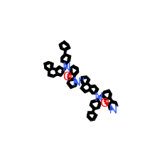 c1ccc(-c2ccc(N(c3ccc4c(ccc5c(-[n+]6cccc7oc8c(N(c9ccc(-c%10ccccc%10)cc9)c9ccc%10ccc%11ccccc%11c%10c9)cccc8c76)cccc54)c3)c3cccc4c3oc3cnccc34)cc2)cc1